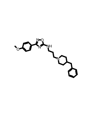 COc1ccc(-c2noc(NCCCN3CCC(Cc4ccccc4)CC3)n2)cc1